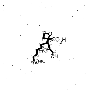 CCCCCCCCCCCCCCCC(CC(O)CO)C1(C(=O)O)CCO1